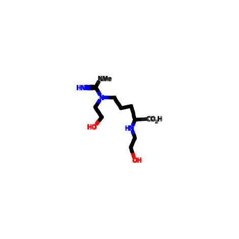 CNC(=N)N(CCO)CCCC(NCCO)C(=O)O